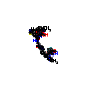 Cc1cc([C@H](C(=O)N2C[C@H](O)C[C@H]2C(=O)N[C@@H](CC(=O)NCCCC(=O)N2CCN(Cc3cccc(-c4ccc(N5CCN(C)CC5)c(NC(=O)c5c[nH]c(=O)cc5C(F)(F)F)c4)c3)CC2)c2ccc(-c3scnc3C)cc2)C(C)C)on1